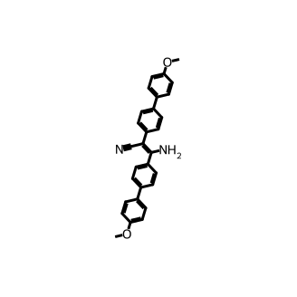 COc1ccc(-c2ccc(/C(N)=C(\C#N)c3ccc(-c4ccc(OC)cc4)cc3)cc2)cc1